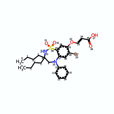 CCCCC1(CCCC)CN(c2ccccc2)c2cc(Br)c(O/C=C/C(=O)O)cc2S(=O)(=O)N1